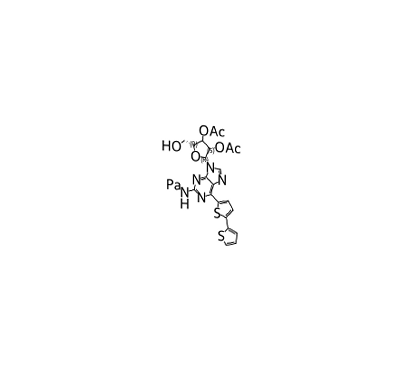 CC(=O)OC1[C@@H](CO)O[C@@H](n2cnc3c(-c4ccc(-c5cccs5)s4)nc([NH][Pa])nc32)[C@H]1OC(C)=O